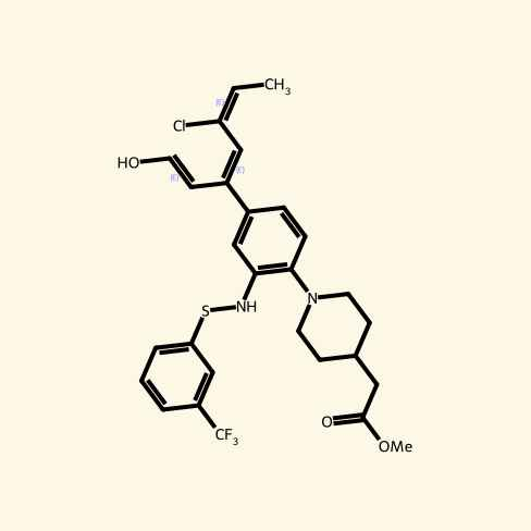 C\C=C(Cl)/C=C(\C=C\O)c1ccc(N2CCC(CC(=O)OC)CC2)c(NSc2cccc(C(F)(F)F)c2)c1